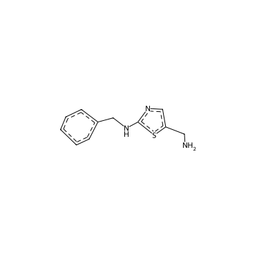 NCc1cnc(NCc2ccccc2)s1